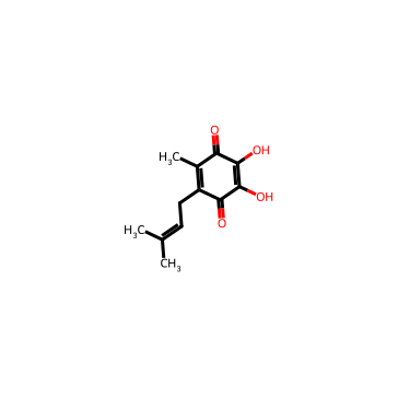 CC(C)=CCC1=C(C)C(=O)C(O)=C(O)C1=O